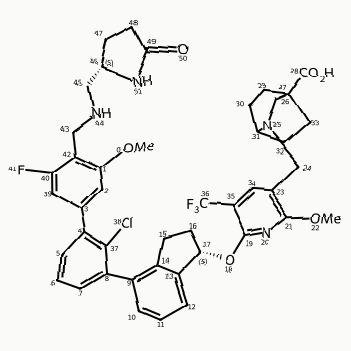 COc1cc(-c2cccc(-c3cccc4c3CC[C@@H]4Oc3nc(OC)c(CN4CC5(C(=O)O)CCC4CC5)cc3C(F)(F)F)c2Cl)cc(F)c1CNC[C@@H]1CCC(=O)N1